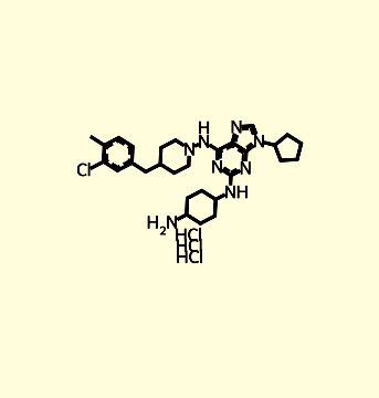 Cc1ccc(CC2CCN(Nc3nc(NC4CCC(N)CC4)nc4c3ncn4C3CCCC3)CC2)cc1Cl.Cl.Cl.Cl